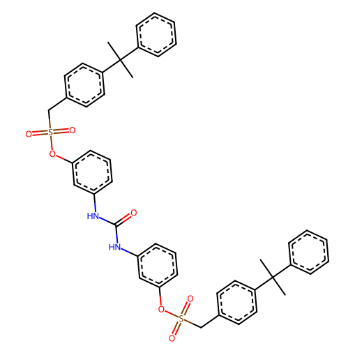 CC(C)(c1ccccc1)c1ccc(CS(=O)(=O)Oc2cccc(NC(=O)Nc3cccc(OS(=O)(=O)Cc4ccc(C(C)(C)c5ccccc5)cc4)c3)c2)cc1